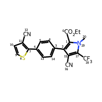 CCOC(=O)c1c(-c2ccc(-c3sccc3C#N)cc2)c(C#N)c(C(F)(F)F)n1C